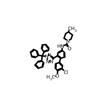 COc1ccc(-c2ccc(NC(=O)N3CCC(C)CC3)cc2-c2nnn(C(c3ccccc3)(c3ccccc3)c3ccccc3)n2)cc1Cl